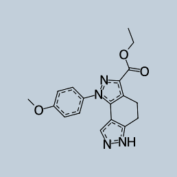 CCOC(=O)c1nn(-c2ccc(OC)cc2)c2c1CCc1[nH]ncc1-2